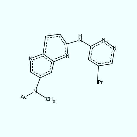 CC(=O)N(C)c1cnc2ccc(Nc3cc(C(C)C)cnn3)nc2c1